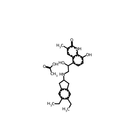 CC(=O)O.CCc1cc2c(cc1CC)CC(NCC(O)c1ccc(O)c3[nH]c(=O)c(C)cc13)C2